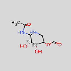 CC(=O)NC1NCC(OC=O)[C@H](O)[C@@H]1O